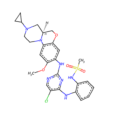 COc1cc2c(cc1Nc1ncc(Cl)c(Nc3ccccc3NS(C)(=O)=O)n1)OC[C@@H]1CN(C3CC3)CCN21